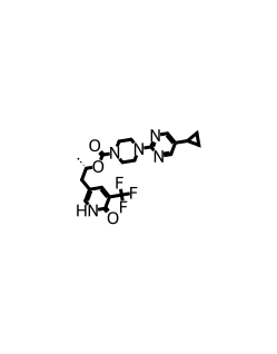 C[C@@H](Cc1c[nH]c(=O)c(C(F)(F)F)c1)OC(=O)N1CCN(c2ncc(C3CC3)cn2)CC1